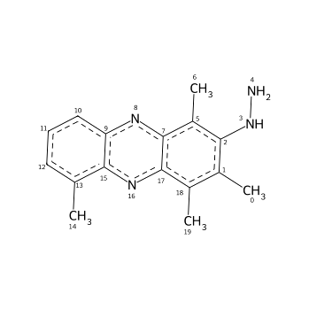 Cc1c(NN)c(C)c2nc3cccc(C)c3nc2c1C